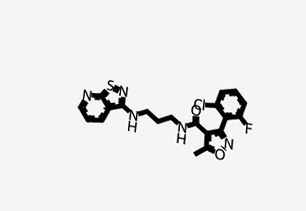 Cc1onc(-c2c(F)cccc2Cl)c1C(=O)NCCCNc1nsc2ncccc12